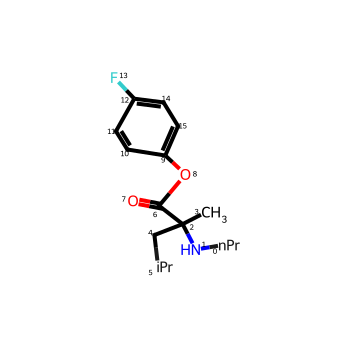 CCCNC(C)(CC(C)C)C(=O)Oc1ccc(F)cc1